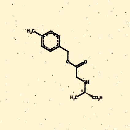 Cc1ccc(COC(=O)CN[C@@H](C)C(=O)O)cc1